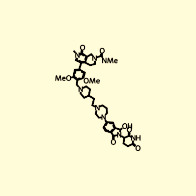 CNC(=O)N1CCc2c(-c3cc(OC)c(CN4CCC(CCN5CCCN(c6ccc7c(c6)C(O)N(C6CCC(=O)NC6=O)C7=O)CC5)CC4)c(OC)c3)cn(C)c(=O)c2C1